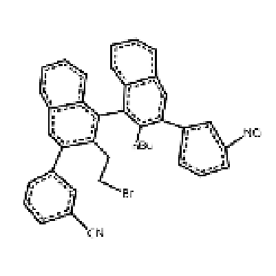 CCCCc1c(-c2cccc(N=O)c2)cc2ccccc2c1-c1c(CCBr)c(-c2cccc(C#N)c2)cc2ccccc12